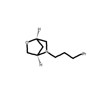 CC(C)CCCN1C[C@H]2C[C@@H]1CO2